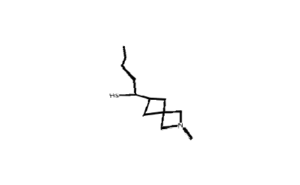 CCCC(S)C1CC2(C1)CN(C)C2